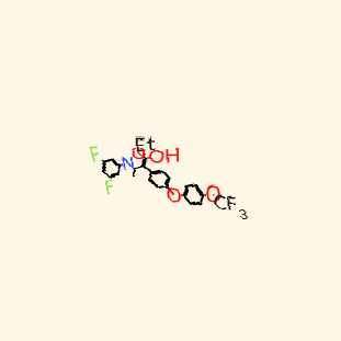 CCOC(O)=C(C(C)=Nc1cc(F)cc(F)c1)c1ccc(Oc2ccc(OC(F)(F)F)cc2)cc1